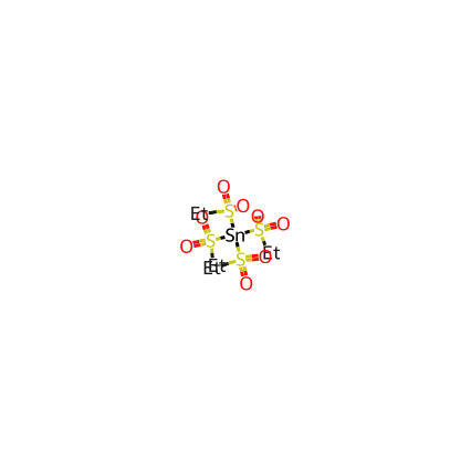 CC[S](=O)(=O)[Sn]([S](=O)(=O)CC)([S](=O)(=O)CC)[S](=O)(=O)CC